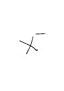 [CH2]CC(O)(O)OCC